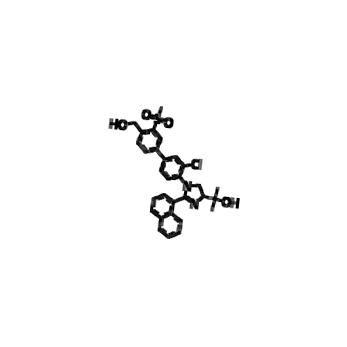 CC(C)(O)C1CN(c2ccc(-c3ccc(CO)c(S(C)(=O)=O)c3)cc2Cl)C(c2cccc3ccccc23)=N1